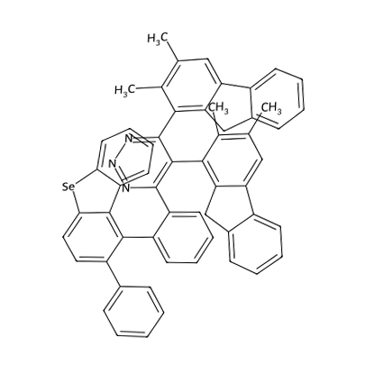 Cc1cc2c(c(-c3nnnc(-c4ccccc4-c4c(-c5ccccc5)ccc5[se]c6ccccc6c45)c3-c3c(C)c(C)cc4c3Cc3ccccc3-4)c1C)Cc1ccccc1-2